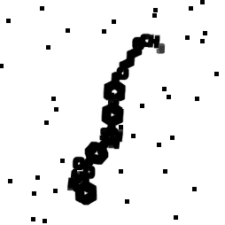 COCCCCOCC1CCN(c2ccc(-c3nnc(-c4ccc(C(=O)On5nnc6ccccc65)cc4)s3)cc2)CC1